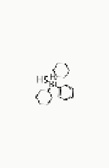 [SH][BiH]([c]1ccccc1)([CH]1CCCCC1)[CH]1CCCCC1